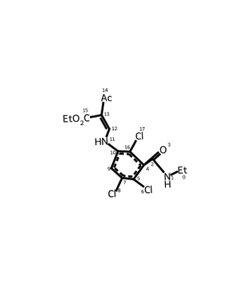 CCNC(=O)c1c(Cl)c(Cl)cc(NC=C(C(C)=O)C(=O)OCC)c1Cl